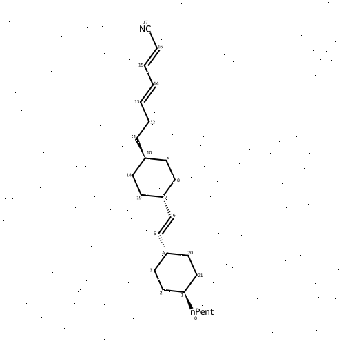 CCCCC[C@H]1CC[C@H](C=C[C@H]2CC[C@H](CCC=CC=CC#N)CC2)CC1